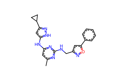 Cc1cc(Nc2cc(C3CC3)n[nH]2)nc(NCc2cc(-c3ccccc3)on2)n1